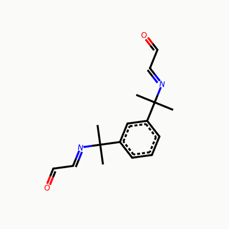 CC(C)(N=CC=O)c1cccc(C(C)(C)N=CC=O)c1